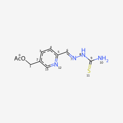 CC(=O)OCc1ccc(C=NNC(N)=S)nc1